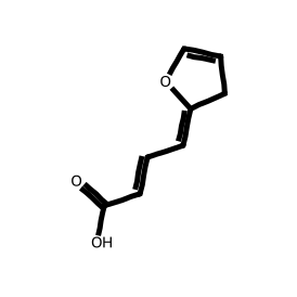 O=C(O)C=CC=C1CC=CO1